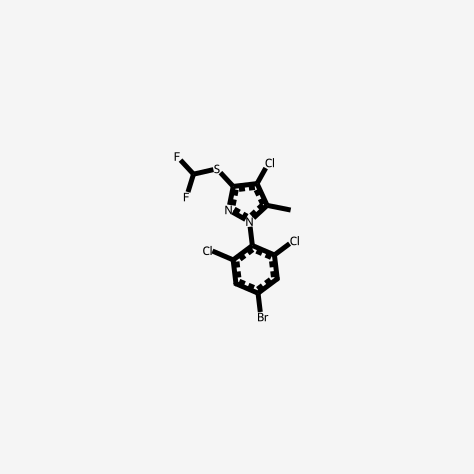 Cc1c(Cl)c(SC(F)F)nn1-c1c(Cl)cc(Br)cc1Cl